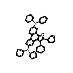 c1ccc(-c2oc3c4cc(N(c5ccccc5)c5ccccc5)ccc4c4ccc(N(c5ccccc5)c5ccccc5)cc4c3c2-c2ccccc2)cc1